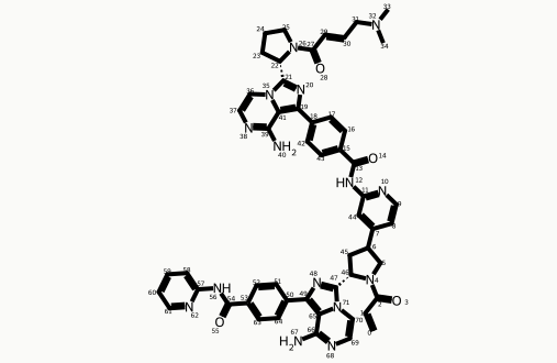 C=CC(=O)N1CC(c2ccnc(NC(=O)c3ccc(-c4nc([C@@H]5CCCN5C(=O)/C=C/CN(C)C)n5ccnc(N)c45)cc3)c2)C[C@H]1c1nc(-c2ccc(C(=O)Nc3ccccn3)cc2)c2c(N)nccn12